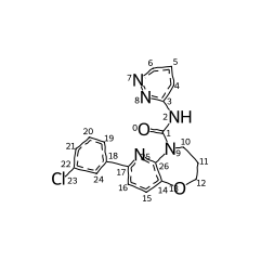 O=C(Nc1cccnn1)N1CCCOc2ccc(-c3cccc(Cl)c3)nc21